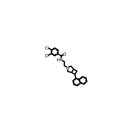 O=C(NCCN1CC2CC(c3cccc4ccccc34)C2C1)c1ccc(Cl)c(Cl)c1